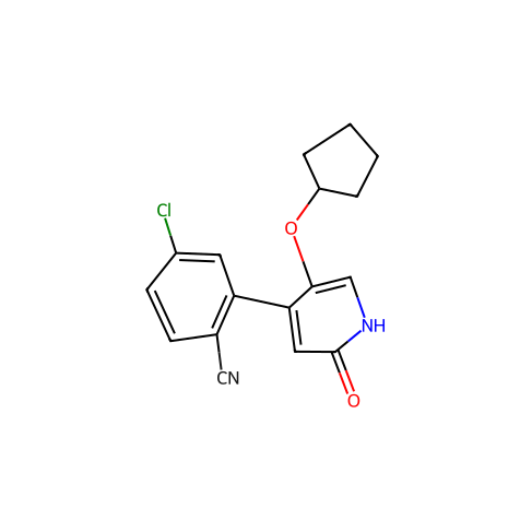 N#Cc1ccc(Cl)cc1-c1cc(=O)[nH]cc1OC1CCCC1